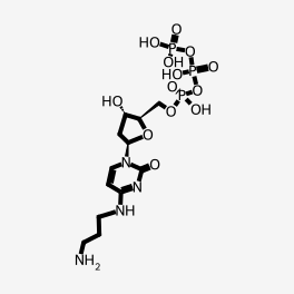 NCCCNc1ccn([C@H]2C[C@H](O)[C@@H](COP(=O)(O)OP(=O)(O)OP(=O)(O)O)O2)c(=O)n1